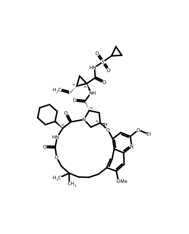 C=C[C@@H]1C[C@]1(NC(=O)[C@@H]1C[C@@H]2CN1C(=O)[C@H](C1CCCCC1)NC(=O)OCC(C)(C)CCCc1cc3c(cc(OCC)nc3cc1OC)O2)C(=O)NS(=O)(=O)C1CC1